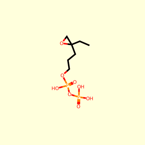 CCC1(CCCOP(=O)(O)OP(=O)(O)O)CO1